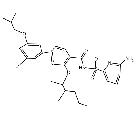 CCCC(C)C(C)Oc1nc(-c2cc(F)cc(OCC(C)C)c2)ccc1C(=O)NS(=O)(=O)c1cccc(N)n1